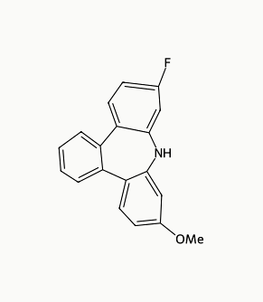 COc1ccc2c(c1)Nc1cc(F)ccc1-c1ccccc1-2